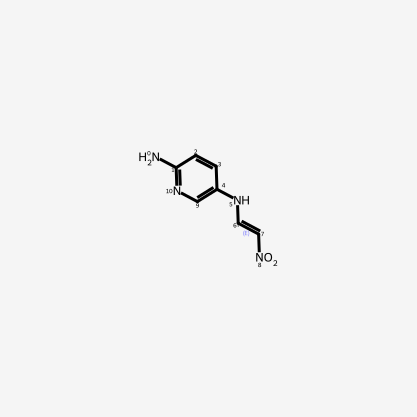 Nc1ccc(N/[C]=C/[N+](=O)[O-])cn1